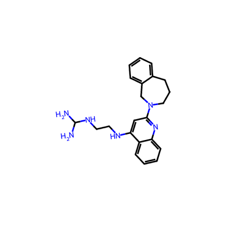 NC(N)NCCNc1cc(N2CCCc3ccccc3C2)nc2ccccc12